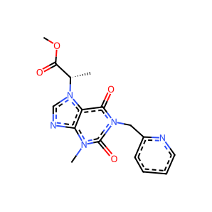 COC(=O)[C@H](C)n1cnc2c1c(=O)n(Cc1ccccn1)c(=O)n2C